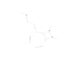 O=C([O-])CCN1CCCNc2c1c(=O)c2=O.[Na+]